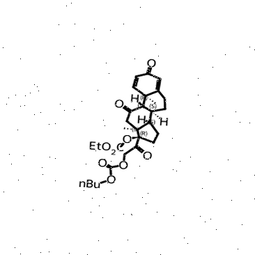 CCCCOC(=O)OCC(=O)[C@@]1(OC(=O)OCC)CC[C@H]2[C@@H]3CCC4=CC(=O)C=C[C@]4(C)[C@H]3C(=O)C[C@@]21C